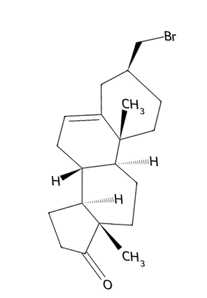 C[C@]12CC[C@H](CBr)CC1=CC[C@@H]1[C@@H]2CC[C@]2(C)C(=O)CC[C@@H]12